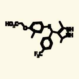 CC1=C(C(Sc2ccc(OCC(=O)O)c(C)c2)c2ccc(C(F)(F)F)cc2)C(C)NN1